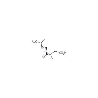 CC(=O)OC(C)O/N=[N+](\[O-])N(C)CC(=O)O